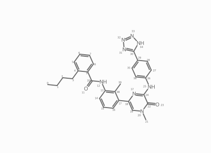 CCCCc1ccccc1C(=O)Nc1cccc(-c2cn(C)c(=O)c(Nc3ccc(-c4nnn[nH]4)cc3)n2)c1C